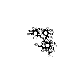 CC(=O)N[C@@]1(C)C(C)(C(O)C(O)CO)OC(OCC2(C)O[C@@](C)(O[C@]3(C)C(C)(CO)OC(O)C(C)(O)[C@]3(C)O)C(C)(O)[C@](C)(O)[C@H]2O)(C(=O)O)C(C)(C)[C@@]1(C)O